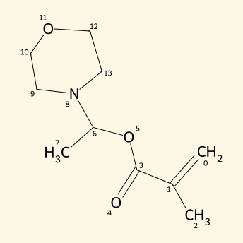 C=C(C)C(=O)OC(C)N1CCOCC1